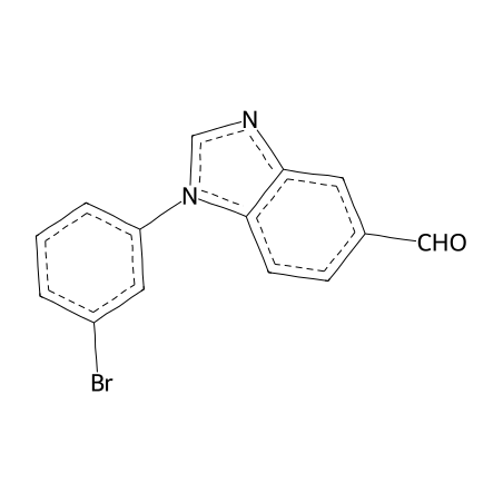 O=Cc1ccc2c(c1)ncn2-c1cccc(Br)c1